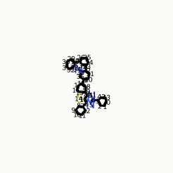 c1ccc(-c2nc(-c3ccccc3)c3sc4ccc(-c5ccc6c7cccc8c9ccccc9n(c6c5)c87)cc4c3n2)cc1